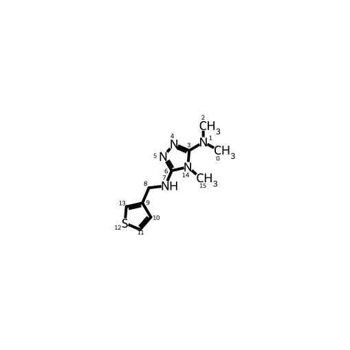 CN(C)c1nnc(NCc2ccsc2)n1C